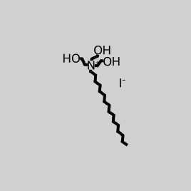 CCCCCCCCCCCCCCCC[N+](CCO)(CCO)CCO.[I-]